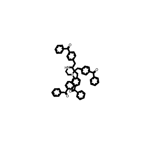 O=C(c1ccccc1)c1ccc(CC2NCCN(Cc3ccc(C(=O)c4ccccc4)cc3)C2(Cc2ccc(C(=O)c3ccccc3)cc2)Cc2ccc(C(=O)c3ccccc3)cc2)cc1